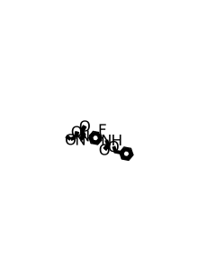 COc1nn(-c2ccc(NC(=O)OCc3ccccc3)c(F)c2)c(=O)o1